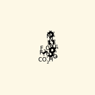 O=C(O)c1cn(CCF)c2c(C(F)(F)F)c(N3CCN(c4ccccn4)CC3)c(F)cc2c1=O